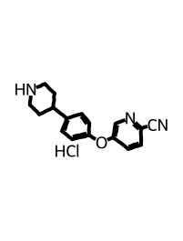 Cl.N#Cc1ccc(Oc2ccc(C3CCNCC3)cc2)cn1